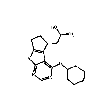 C[C@H](O)C[C@H]1CCc2sc3ncnc(OC4CCCCC4)c3c21